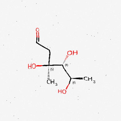 C[C@@H](O)[C@@H](O)[C@@](C)(O)CC=O